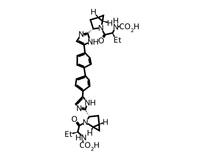 CC[C@H](NC(=O)O)C(=O)N1[C@H](c2ncc(-c3ccc(-c4ccc(-c5cnc([C@@H]6C[C@@H]7C[C@@H]7N6C(=O)[C@H](CC)NC(=O)O)[nH]5)cc4)cc3)[nH]2)C[C@@H]2C[C@@H]21